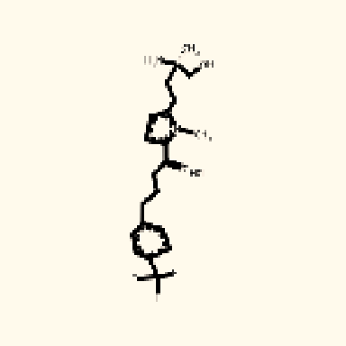 Cl.Cn1c(CC[C@@](C)(N)CO)ccc1C(=O)CCCc1ccc(C(F)(F)F)cc1